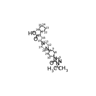 CC(C)n1ncn(-c2ccc(N3CCN(CCC(C(=O)O)c4ccccc4)CC3)cc2)c1=O